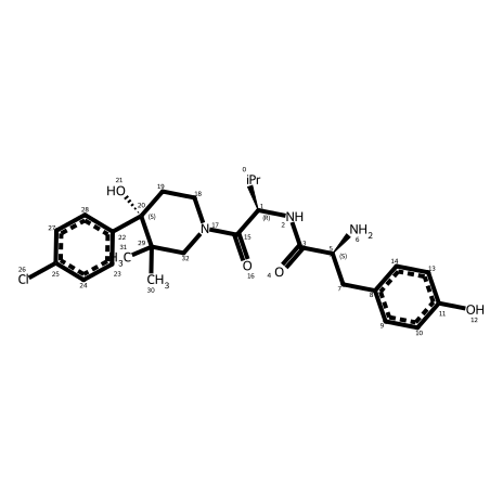 CC(C)[C@@H](NC(=O)[C@@H](N)Cc1ccc(O)cc1)C(=O)N1CC[C@](O)(c2ccc(Cl)cc2)C(C)(C)C1